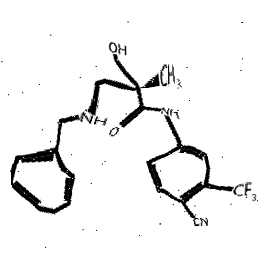 C[C@](O)(CNCc1ccccc1)C(=O)Nc1ccc(C#N)c(C(F)(F)F)c1